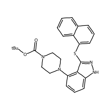 CC(C)(C)OC(=O)N1CCN(c2cccc3[nH]nc(Sc4cccc5ccccc45)c23)CC1